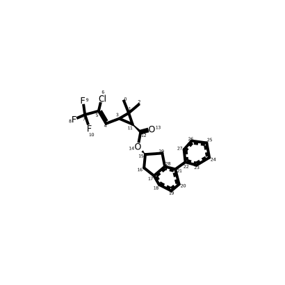 CC1(C)C(/C=C(\Cl)C(F)(F)F)[C@@H]1C(=O)O[C@H]1Cc2cccc(-c3ccccc3)c2C1